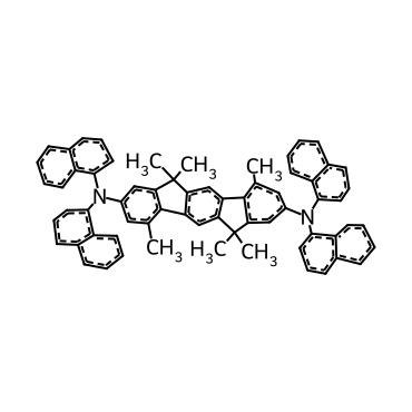 Cc1cc(N(c2cccc3ccccc23)c2cccc3ccccc23)cc2c1-c1cc3c(cc1C2(C)C)-c1c(C)cc(N(c2cccc4ccccc24)c2cccc4ccccc24)cc1C3(C)C